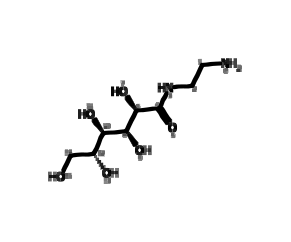 NCCNC(=O)[C@H](O)[C@@H](O)[C@H](O)[C@H](O)CO